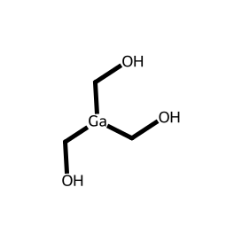 O[CH2][Ga]([CH2]O)[CH2]O